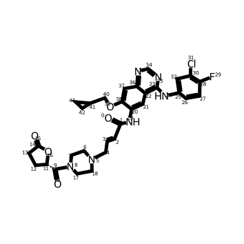 O=C(C=CCN1CCN(C(=O)[C@@H]2CCC(=O)O2)CC1)Nc1cc2c(Nc3ccc(F)c(Cl)c3)ncnc2cc1OCC1CC1